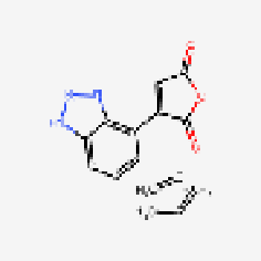 C=C.C=CC.O=C1C=C(c2cccc3[nH]nnc23)C(=O)O1